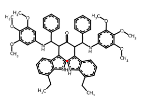 CCc1cccc2c(C(C(=O)C(c3c[nH]c4c(CC)cccc34)C(Nc3cc(OC)c(OC)c(OC)c3)c3ccccc3)C(Nc3cc(OC)c(OC)c(OC)c3)c3ccccc3)c[nH]c12